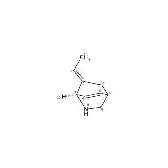 C/C=C1\CC2C=C[C@H]1NC2